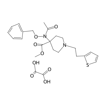 COC(=O)C1(N(OCc2ccccc2)C(C)=O)CCN(CCc2cccs2)CC1.O=C(O)C(=O)O